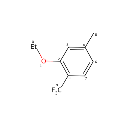 CCOc1cc(C)ccc1C(F)(F)F